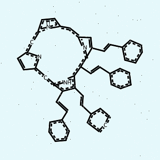 C1=Cc2cc3[nH]c(c(/C=C/c4ccccc4)c4nc(cc5ccc(cc1n2)[nH]5)C=C4/C=C/c1ccccc1)c(/C=C/c1ccccc1)c3/C=C/c1ccccc1